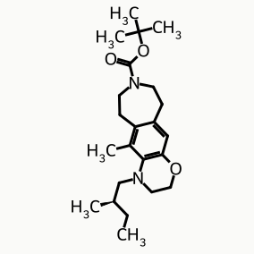 CC[C@@H](C)CN1CCOc2cc3c(c(C)c21)CCN(C(=O)OC(C)(C)C)CC3